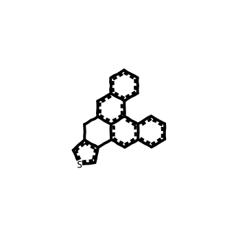 c1ccc2c(c1)cc1c3c(cc4ccccc4c32)-c2cscc2C1